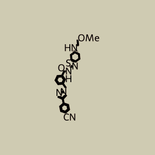 COCCN[C@@H]1CCc2nc(NC(=O)c3cccc(Cn4cc(-c5ccc(C#N)cc5)cn4)c3)sc2C1